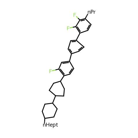 CCCCCCCC1CCC(C2CCC(c3ccc(-c4ccc(-c5ccc(CCC)c(F)c5F)cc4)cc3F)CC2)CC1